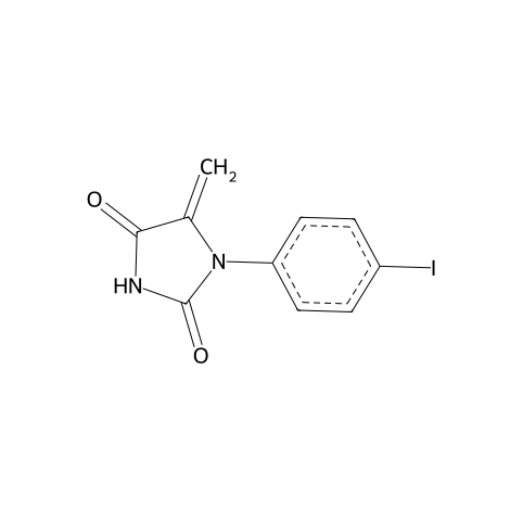 C=C1C(=O)NC(=O)N1c1ccc(I)cc1